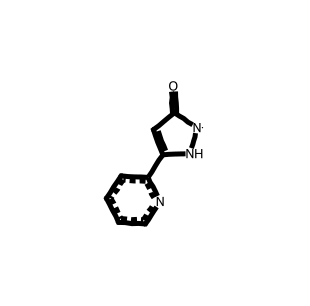 O=C1C=C(c2ccccn2)N[N]1